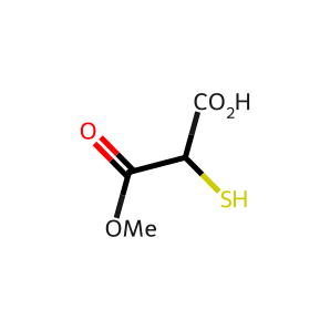 COC(=O)C(S)C(=O)O